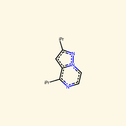 CC(C)c1cc2c(C(C)C)nccn2n1